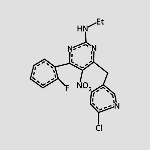 CCNc1nc(Cc2ccc(Cl)nc2)c([N+](=O)[O-])c(-c2ccccc2F)n1